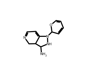 NC1NN(C2C=CC=CO2)C2=CC=NCC21